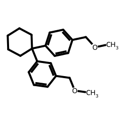 COCc1ccc(C2(c3cccc(COC)c3)CCCCC2)cc1